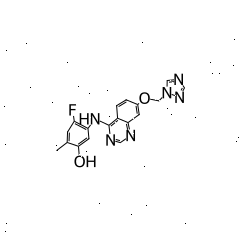 Cc1cc(F)c(Nc2ncnc3cc(OCn4cncn4)ccc23)cc1O